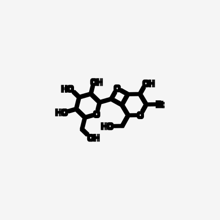 CCC1OC(CO)C2C(OC2C2OC(CO)C(O)C(O)C2O)C1O